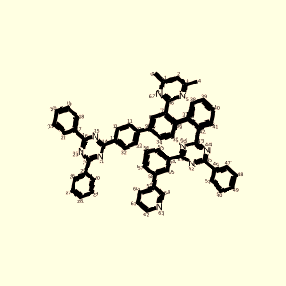 Cc1cc(C)nc(-c2cc(-c3ccc(-c4nc(-c5ccccc5)nc(-c5ccccc5)n4)cc3)ccc2-c2ccccc2-c2nc(-c3ccccc3)nc(-c3cccc(-c4cccnc4)c3)n2)n1